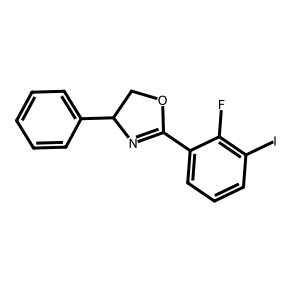 Fc1c(I)cccc1C1=NC(c2ccccc2)CO1